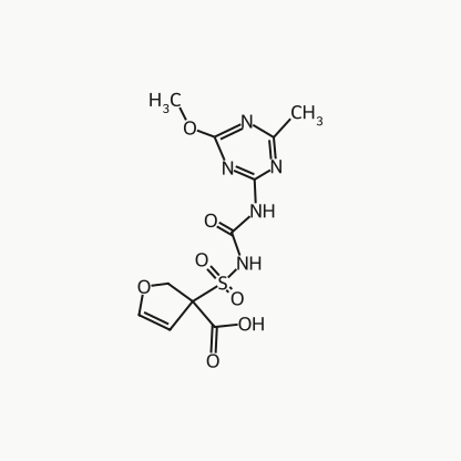 COc1nc(C)nc(NC(=O)NS(=O)(=O)C2(C(=O)O)C=COC2)n1